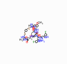 COc1ccc(C[C@H](NC(=O)[C@@H]2CCCC(=O)N[C@H]3C[C@@H](C(=O)N2)N(C(=O)[C@@H](Cc2c[nH]c4ccc(F)cc24)NC(=O)[C@H](N)Cc2c[nH]c4ccc(F)cc24)C3)C(=O)N2CCC[C@@]2(C)C(=O)NCCSCc2ccc(CSCCN[C@@H](C)C(=O)N[C@@]3(C)CC3=O)cc2)cc1